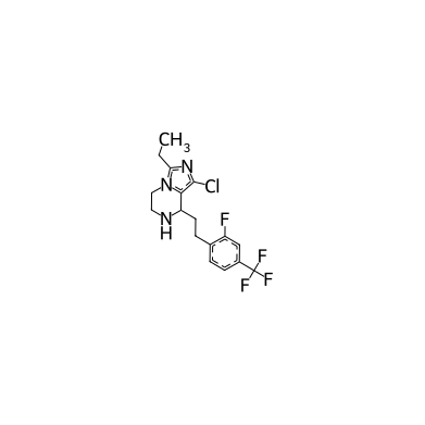 CCc1nc(Cl)c2n1CCNC2CCc1ccc(C(F)(F)F)cc1F